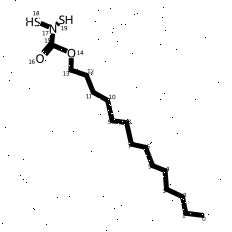 CCCCCCCCCCCCCCOC(=O)N(S)S